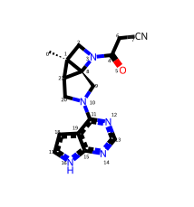 C[C@]12CN(C(=O)CC#N)[C@@]13CN(c1ncnc4[nH]ccc14)CC32